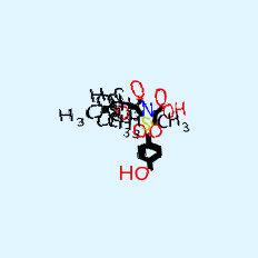 C[C@@H](O[Si](C)(C)C(C)(C)C)[C@H]1C(=O)N2C(C(=O)O)C(C)(OC(=O)c3ccc(CO)cc3)S[C@H]12